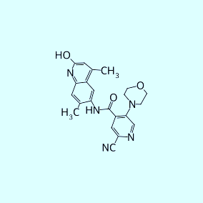 Cc1cc2nc(O)cc(C)c2cc1NC(=O)c1cc(C#N)ncc1N1CCOCC1